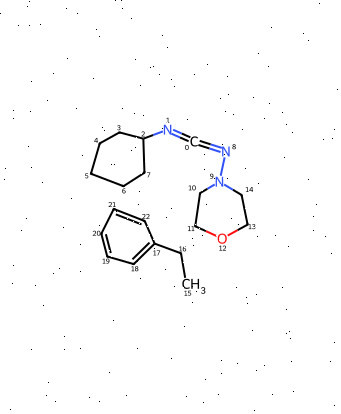 C(=NC1CCCCC1)=NN1CCOCC1.CCc1ccccc1